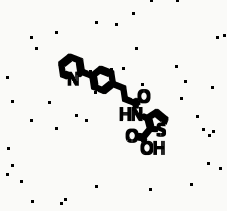 O=C(CCc1ccc(-c2ccccn2)cc1)Nc1ccsc1C(=O)O